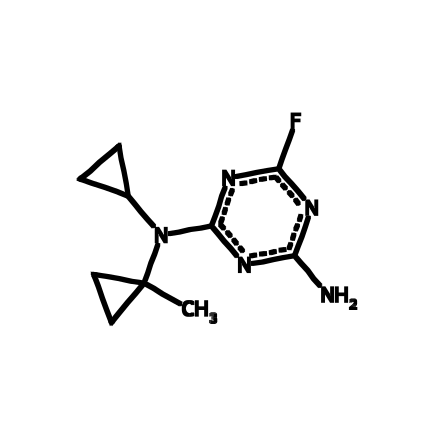 CC1(N(c2nc(N)nc(F)n2)C2CC2)CC1